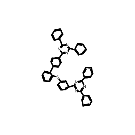 c1ccc(-c2nc(-c3ccccc3)nc(-c3ccc(-c4ccccc4Sc4cccc(-c5nc(-c6ccccc6)nc(-c6ccccc6)n5)c4)cc3)n2)cc1